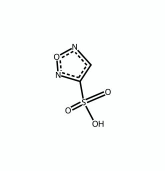 O=S(=O)(O)c1cnon1